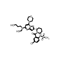 CS(=O)(=O)Nc1ccc(Cl)cc1C(=O)N1CCCC[C@H]1c1cc2nc(N(CS)CCCO)cc(N3CCOCC3)n2n1